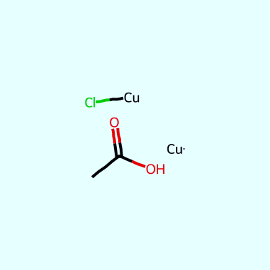 CC(=O)O.[Cl][Cu].[Cu]